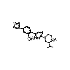 CC(C)[C@H]1CN(c2ncc(-c3ccc(-c4ccns4)cc3O)nn2)CCN1